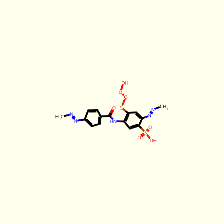 C/N=N/c1ccc(C(=O)Nc2cc(S(=O)(=O)O)c(/N=N/C)cc2SOOO)cc1